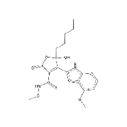 CCCCCC1(O)OC(=O)C(C(=O)NOC)=C1c1cc2c(OC)cccc2[nH]1